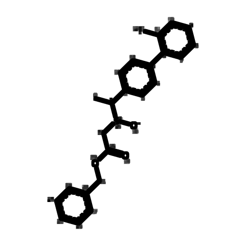 CC(c1ccc(-c2ccccc2F)cc1)[S+]([O-])CC(=O)OCc1ccccc1